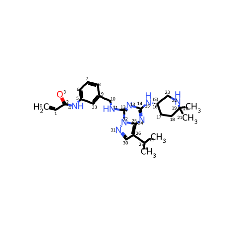 C=CC(=O)Nc1cccc(CNc2nc(N[C@H]3CCC(C)(C)NC3)nc3c(C(C)C)cnn23)c1